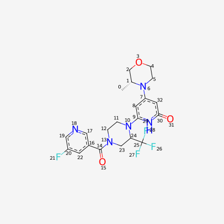 C[C@@H]1COCCN1c1cc(N2CCN(C(=O)c3cncc(F)c3)CC2C(F)(F)F)[nH]c(=O)c1